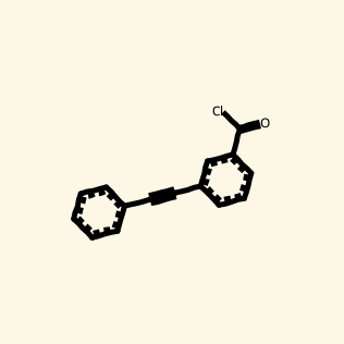 O=C(Cl)c1cccc(C#Cc2ccccc2)c1